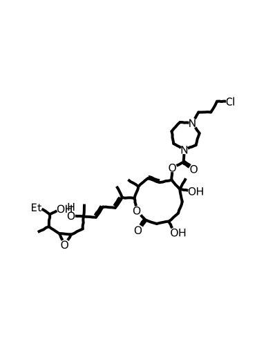 CCC(O)C(C)C1OC1CC(C)(O)/C=C/C=C(\C)C1OC(=O)CC(O)CCC(C)(O)C(OC(=O)N2CCCN(CCCCl)CC2)/C=C/C1C